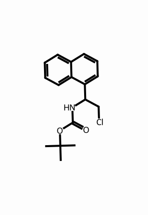 CC(C)(C)OC(=O)NC(CCl)c1cccc2ccccc12